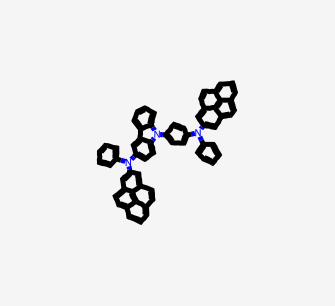 c1ccc(N(c2ccc(-n3c4ccccc4c4cc(N(c5ccccc5)c5cc6ccc7cccc8ccc(c5)c6c78)ccc43)cc2)c2cc3ccc4cccc5ccc(c2)c3c45)cc1